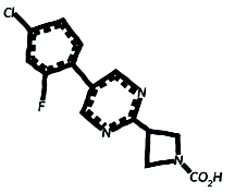 O=C(O)N1CC(c2ncc(-c3ccc(Cl)cc3F)cn2)C1